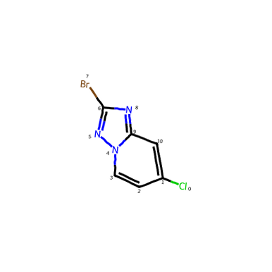 Clc1ccn2nc(Br)nc2c1